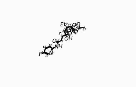 CC[C@H]1[C@@H](C)[C@@](O)(CCC(=O)Nc2ccc(F)cn2)O[C@@H]2O[C@]3(C)CCC(C(C)C)[C@]21OO3